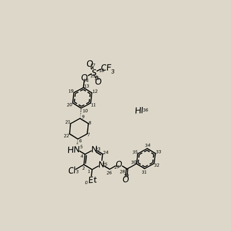 CCC1C(Cl)=C(N[C@H]2CC[C@@H](c3ccc(OS(=O)(=O)C(F)(F)F)cc3)CC2)N=CN1COC(=O)c1ccccc1.I